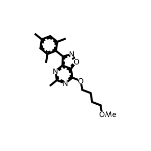 COCCCCOc1nc(C)nc2c(-c3c(C)cc(C)cc3C)noc12